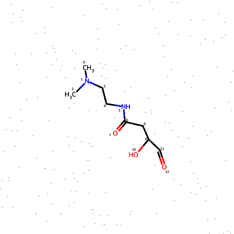 CN(C)C[CH]NC(=O)CC(O)C=O